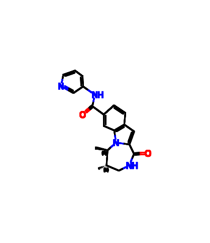 C[C@@H]1[C@@H](C)CNC(=O)c2cc3ccc(C(=O)Nc4cccnc4)cc3n21